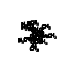 CCCCOC1C(OC)C(OC(=O)OCC)C(OC(=O)OCC)C(OC(=O)CNC(=O)OC(C)(C)C)C1OC(=O)OCC